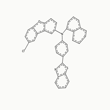 Clc1ccc2oc3ccc(N(c4ccc(-c5nc6ccccc6s5)cc4)c4cccc5ccccc45)cc3c2c1